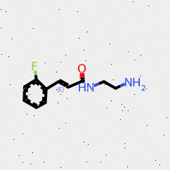 NCCNC(=O)/C=C/c1ccccc1F